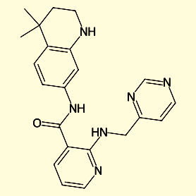 CC1(C)CCNc2cc(NC(=O)c3cccnc3NCc3ccncn3)ccc21